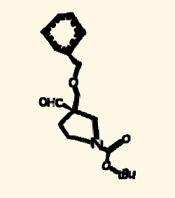 CC(C)(C)OC(=O)N1CC[C@](C=O)(COCc2ccccc2)C1